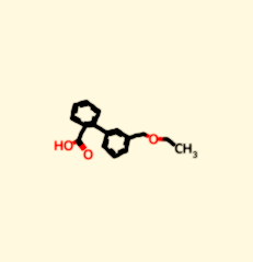 CCOCc1cccc(-c2ccccc2C(=O)O)c1